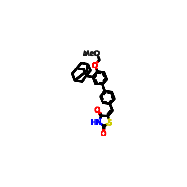 COCOc1ccc(-c2ccc(C=C3SC(=O)NC3=O)cc2)cc1C12CC3CC(CC(C3)C1)C2